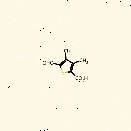 Cc1c(C=O)sc(C(=O)O)c1C